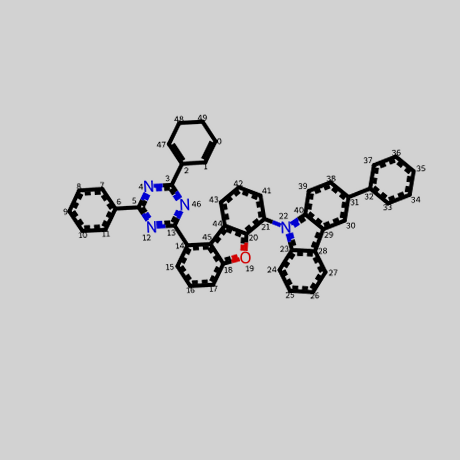 C1=CC(c2nc(-c3ccccc3)nc(-c3cccc4oc5c(-n6c7ccccc7c7cc(-c8ccccc8)ccc76)cccc5c34)n2)=CCC1